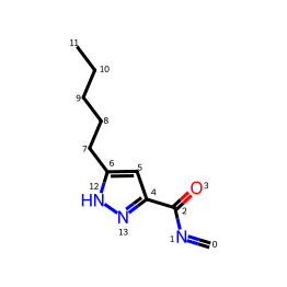 C=NC(=O)c1cc(CCCCC)[nH]n1